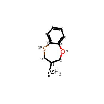 [AsH2]C1COc2ccccc2SC1